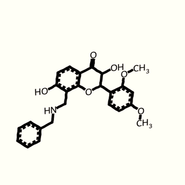 COc1ccc(C2Oc3c(ccc(O)c3CNCc3ccccc3)C(=O)C2O)c(OC)c1